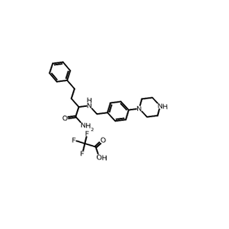 NC(=O)C(CCc1ccccc1)NCc1ccc(N2CCNCC2)cc1.O=C(O)C(F)(F)F